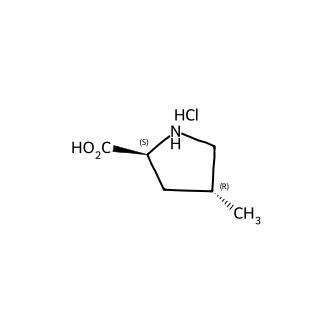 C[C@H]1CN[C@H](C(=O)O)C1.Cl